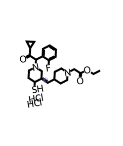 CCOC(=O)CN1CCC(/C=C2\CN(C(C(=O)C3CC3)c3ccccc3F)CCC2S)CC1.Cl.Cl